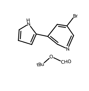 Brc1cncc(-c2ccc[nH]2)c1.CC(C)(C)OC=O